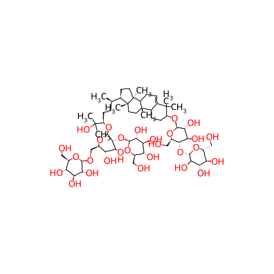 C[C@H](CC[C@@H](O[C@@H]1O[C@H](CO[C@@H]2O[C@H](CO)[C@@H](O)[C@H](O)[C@H]2O)[C@@H](O)[C@H](O)[C@H]1O[C@@H]1O[C@H](CO)[C@@H](O)[C@H](O)[C@H]1O)C(C)(C)O)[C@H]1CC[C@@]2(C)C3CC=C4C(CC[C@H](O[C@@H]5O[C@H](CO)[C@@H](O[C@@H]6O[C@H](CO)[C@@H](O)[C@H](O)[C@H]6O)[C@H](O)[C@H]5O)C4(C)C)[C@]3(C)CC[C@]12C